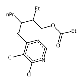 CCCC(Sc1ccnc(Cl)c1Cl)C(CC)COC(=O)CC